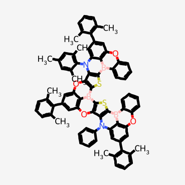 Cc1cc(C)c(N2c3cc(-c4c(C)cccc4C)cc4c3B(c3ccccc3O4)c3sc4c(c32)Oc2cc(-c3c(C)cccc3C)cc3c2B4c2sc4c(c2O3)N(c2ccccc2)c2cc(-c3c(C)cccc3C)cc3c2B4c2ccccc2O3)c(C)c1